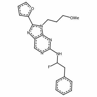 COCCCn1c(-c2ccco2)nc2cnc(NC(F)Cc3ccccc3)nc21